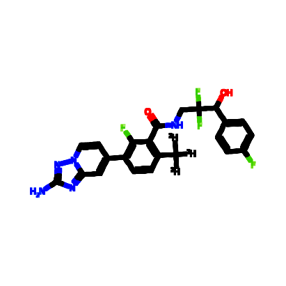 [2H]C([2H])([2H])c1ccc(-c2ccn3nc(N)nc3c2)c(F)c1C(=O)NCC(F)(F)C(O)c1ccc(F)cc1